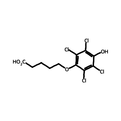 O=C(O)CCCCOc1c(Cl)c(Cl)c(O)c(Cl)c1Cl